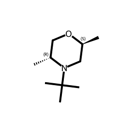 C[C@@H]1CO[C@@H](C)CN1C(C)(C)C